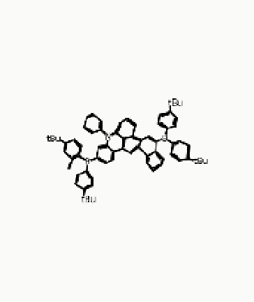 Cc1cc(C(C)(C)C)ccc1B(c1ccc(C(C)(C)C)cc1)c1ccc2c(c1)N(c1ccccc1)c1cccc3c1c-2cc1c2ccccc2c(B(c2ccc(C(C)(C)C)cc2)c2ccc(C(C)(C)C)cc2)cc31